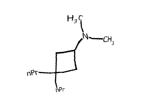 CCCC1(CCC)CC(N(C)C)C1